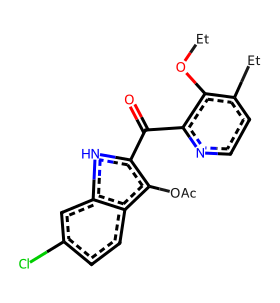 CCOc1c(CC)ccnc1C(=O)c1[nH]c2cc(Cl)ccc2c1OC(C)=O